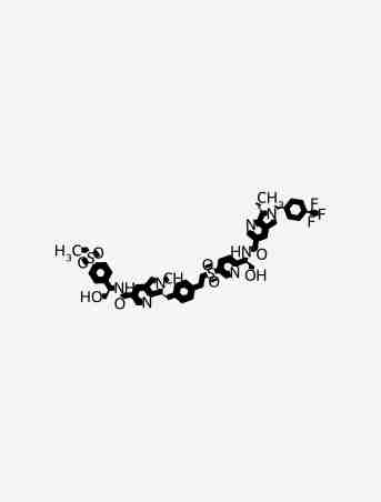 CC[C@H]1c2ncc(C(=O)N[C@@H](CO)c3ccc(S(=O)(=O)CCc4ccc(C[C@@H]5c6ncc(C(=O)N[C@@H](CO)c7ccc(S(=O)(=O)CC)cc7)cc6CN5C)cc4)cn3)cc2CN1C[C@H]1CC[C@H](C(F)(F)F)CC1